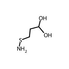 NSCCC(O)O